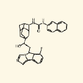 O=C(Nc1ccc2ccccc2c1)NC1C2CC3CC1CC(C(O)CC1c4c(F)cccc4-c4cncn41)(C3)C2